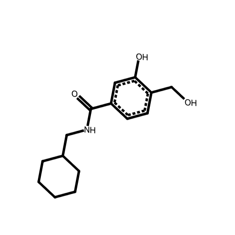 O=C(NCC1CCCCC1)c1ccc(CO)c(O)c1